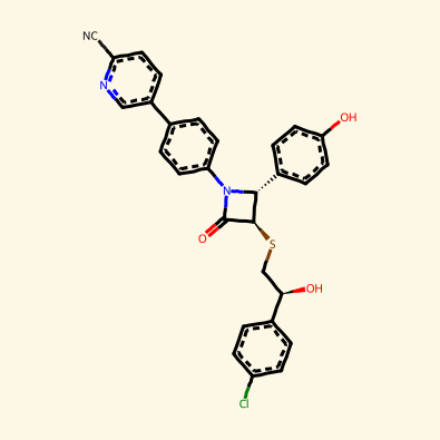 N#Cc1ccc(-c2ccc(N3C(=O)[C@H](SC[C@@H](O)c4ccc(Cl)cc4)[C@H]3c3ccc(O)cc3)cc2)cn1